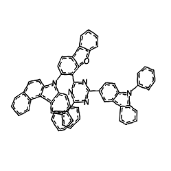 c1ccc(-c2nc(-c3ccc4c(c3)c3ccccc3n4-c3ccccc3)nc(-c3c(-n4c5cc6ccccc6cc5c5c6ccccc6ccc54)ccc4c3oc3ccccc34)n2)cc1